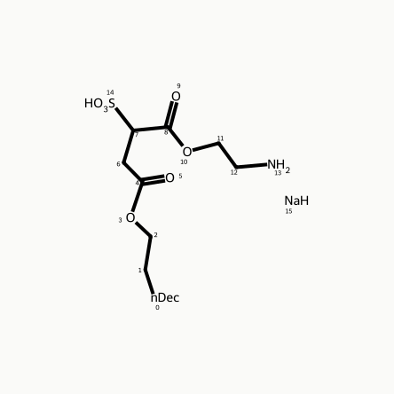 CCCCCCCCCCCCOC(=O)CC(C(=O)OCCN)S(=O)(=O)O.[NaH]